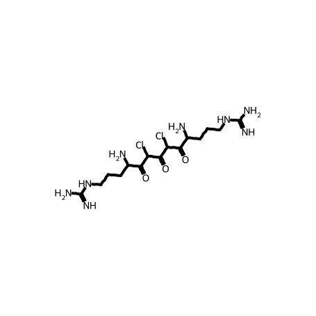 N=C(N)NCCCC(N)C(=O)C(Cl)C(=O)C(Cl)C(=O)C(N)CCCNC(=N)N